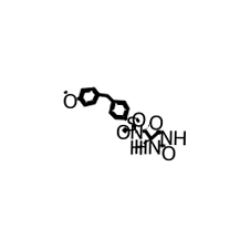 COc1ccc(Cc2ccc(S(=O)(=O)N[C@H](C)[C@@]3(C)NC(=O)NC3=O)cc2)cc1